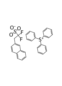 O=S(=O)([O-])C(F)(F)Cc1ccc2ccccc2c1.c1ccc([S+](c2ccccc2)c2ccccc2)cc1